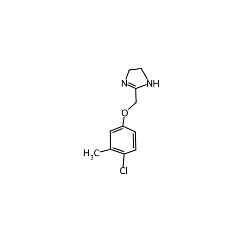 Cc1cc(OCC2=NCCN2)ccc1Cl